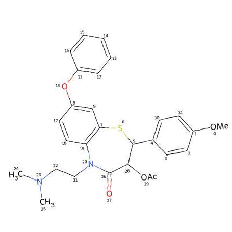 COc1ccc(C2Sc3cc(Oc4ccccc4)ccc3N(CCN(C)C)C(=O)C2OC(C)=O)cc1